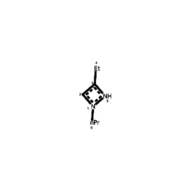 CCCn1cc(CC)[nH]1